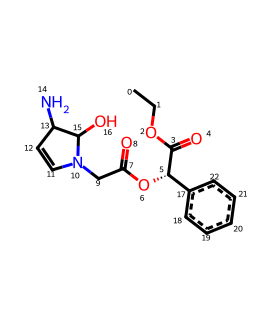 CCOC(=O)[C@@H](OC(=O)CN1C=CC(N)C1O)c1ccccc1